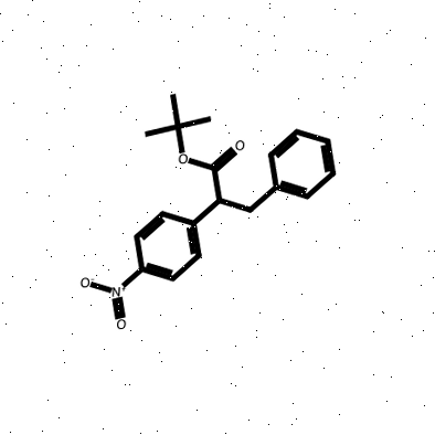 CC(C)(C)OC(=O)C(Cc1ccccc1)c1ccc([N+](=O)[O-])cc1